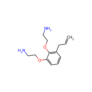 C=CCc1cccc(OCCN)c1OCCN